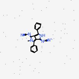 C[N+]#CN=C1NC(c2ccccc2)=C2C(=NC#N)N(C)C(c3ccccc3)=C12